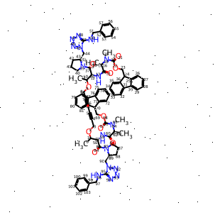 CC(OCC#CC#CCOC(C)[C@H](NC(=O)[C@H](C)N(C)C(=O)OCC1c2ccccc2-c2ccccc21)C(=O)N1CCC[C@H]1Cn1nnnc1NCc1ccccc1)[C@H](NC(=O)[C@H](C)N(C)C(=O)OCC1c2ccccc2-c2ccccc21)C(=O)N1CCC[C@H]1Cn1nnnc1NCc1ccccc1